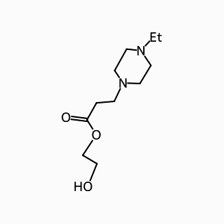 CCN1CCN(CCC(=O)OCCO)CC1